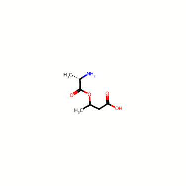 CC(CC(=O)O)OC(=O)[C@H](C)N